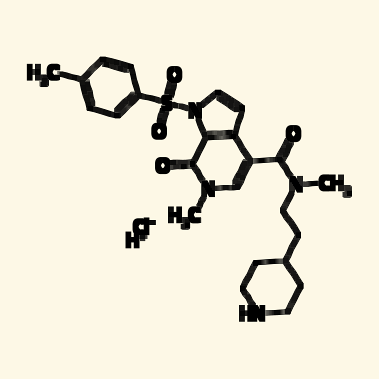 Cc1ccc(S(=O)(=O)n2ccc3c(C(=O)N(C)CCC4CCNCC4)cn(C)c(=O)c32)cc1.[Cl-].[H+]